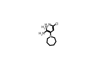 NC(N)=C(/C=C(\N)Cl)N1CCCCCC1